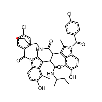 CCCCNC(=O)C(c1c(C)n(C(=O)c2ccc(Cl)cc2)c2ccc(O)c(F)c12)C(C(=O)NC(C)CC)c1c(C)n(C(=O)c2ccc(Cl)cc2)c2ccc(O)c(F)c12